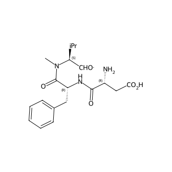 CC(C)[C@@H]([C]=O)N(C)C(=O)[C@@H](Cc1ccccc1)NC(=O)[C@H](N)CC(=O)O